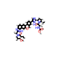 CCCC(=O)N(C[C@H](C)COC)[C@@H](C)c1nc2ccc3cc4c(cc3c2[nH]1)OCc1cc(-c2cnc([C@@H]3CC[C@H](CC)N3C(=O)[C@H](C)NC(=O)OC)[nH]2)ccc1-4